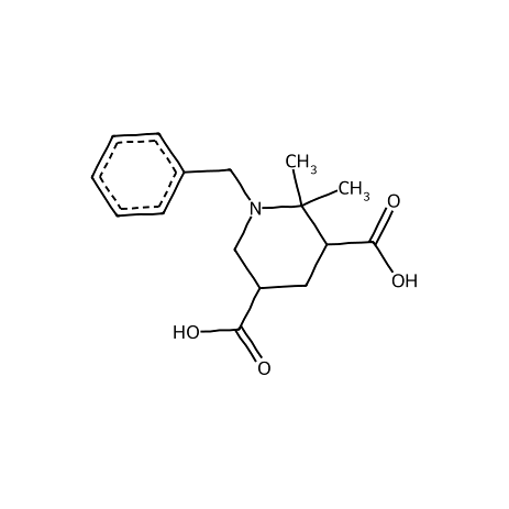 CC1(C)C(C(=O)O)CC(C(=O)O)CN1Cc1ccccc1